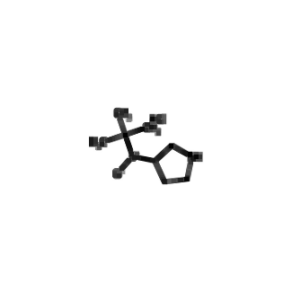 CC(C)(C)[S+]([O-])C1CCNC1.Cl